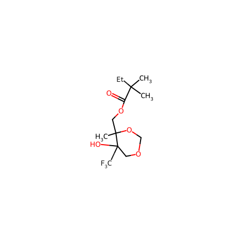 CCC(C)(C)C(=O)OCC1(C)OCOCC1(O)C(F)(F)F